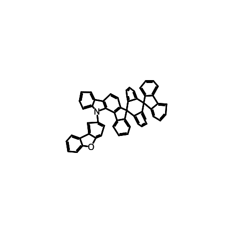 c1ccc2c(c1)-c1ccccc1C21c2ccccc2C2(c3ccccc3-c3c2ccc2c4ccccc4n(-c4ccc5oc6ccccc6c5c4)c32)c2ccccc21